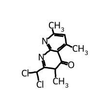 Cc1cc(C)c2c(n1)N=C(C(Cl)Cl)C(C)C2=O